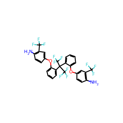 Nc1ccc(Oc2ccccc2C(c2ccccc2Oc2ccc(N)c(C(F)(F)F)c2)(C(F)(F)F)C(F)(F)F)cc1C(F)(F)F